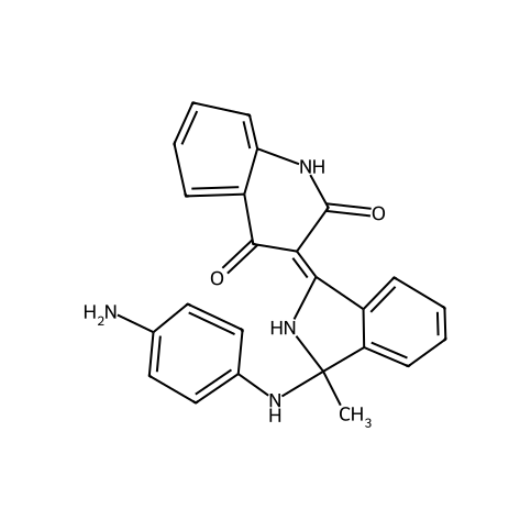 CC1(Nc2ccc(N)cc2)N/C(=C2/C(=O)Nc3ccccc3C2=O)c2ccccc21